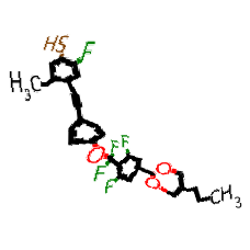 CCCC1COC(c2cc(F)c(C(F)(F)Oc3ccc(C#Cc4cc(F)c(S)cc4CC)cc3)c(F)c2)OC1